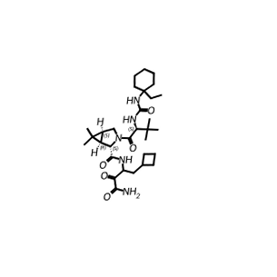 CCC1(NC(=O)N[C@H](C(=O)N2C[C@H]3[C@@H]([C@H]2C(=O)NC(CC2CCC2)C(=O)C(N)=O)C3(C)C)C(C)(C)C)CCCCC1